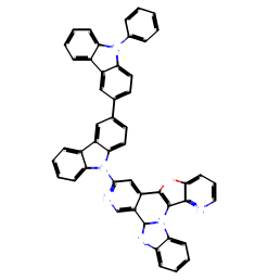 c1ccc(-n2c3ccccc3c3cc(-c4ccc5c(c4)c4ccccc4n5-c4cc5c(cn4)C4Nc6ccccc6N4c4c-5oc5cccnc45)ccc32)cc1